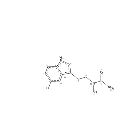 Cc1ccc2[nH]cc(CCN(S)C(N)=O)c2c1